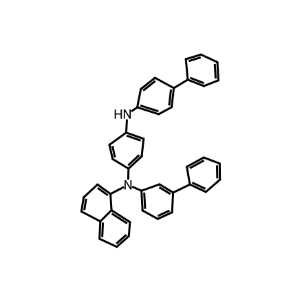 c1ccc(-c2ccc(Nc3ccc(N(c4cccc(-c5ccccc5)c4)c4cccc5ccccc45)cc3)cc2)cc1